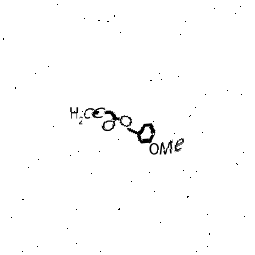 C=C=CC(=O)OCc1cccc(OC)c1